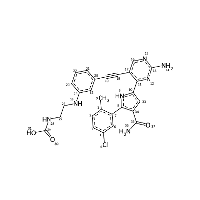 Cc1ccc(Cl)cc1-c1[nH]c(-c2nc(N)ncc2C#Cc2cccc(NCCNC(=O)O)c2)cc1C(N)=O